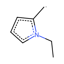 [CH2]c1cccn1CC